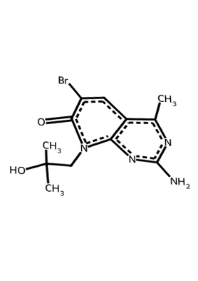 Cc1nc(N)nc2c1cc(Br)c(=O)n2CC(C)(C)O